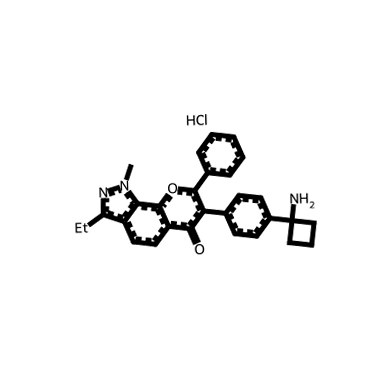 CCc1nn(C)c2c1ccc1c(=O)c(-c3ccc(C4(N)CCC4)cc3)c(-c3ccccc3)oc12.Cl